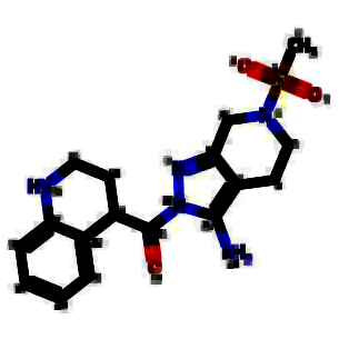 CS(=O)(=O)N1CCc2c(nn(C(=O)C3CCNc4ccccc43)c2N)C1